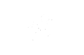 CCCN(CCC)C([C]=O)c1ccccc1